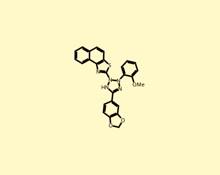 COc1ccccc1N1N=C(c2ccc3c(c2)OCO3)NN1c1nc2c(ccc3ccccc32)s1